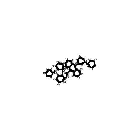 c1ccc(-c2cccc(-c3c4ccccc4c(-c4nc5cccc6c5n4-c4ccccc4N6c4ccccc4)c4ccccc34)c2)cc1